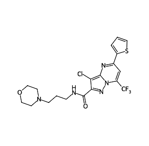 O=C(NCCCN1CCOCC1)c1nn2c(C(F)(F)F)cc(-c3cccs3)nc2c1Cl